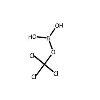 OB(O)OC(Cl)(Cl)Cl